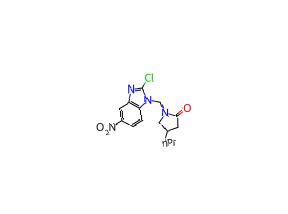 CCCC1CC(=O)N(Cn2c(Cl)nc3cc([N+](=O)[O-])ccc32)C1